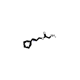 NCC(=O)OC/C=C/c1ccccc1